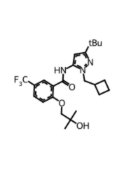 CC(C)(O)COc1ccc(C(F)(F)F)cc1C(=O)Nc1cc(C(C)(C)C)nn1CC1CCC1